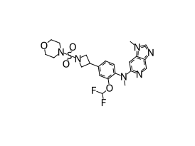 CN(c1cc2c(cn1)ncn2C)c1ccc(C2CN(S(=O)(=O)N3CCOCC3)C2)cc1OC(F)F